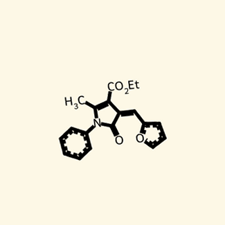 CCOC(=O)C1=C(C)N(c2ccccc2)C(=O)C1=Cc1ccco1